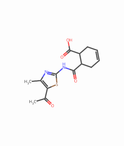 CC(=O)c1sc(NC(=O)C2CC=CCC2C(=O)O)nc1C